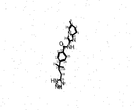 Cc1ccc2nc(NC(=O)c3ccc(C(C)(C)CCc4nnn[nH]4)cc3)cn2c1